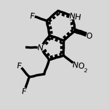 Cn1c(CC(F)F)c([N+](=O)[O-])c2c(=O)[nH]cc(F)c21